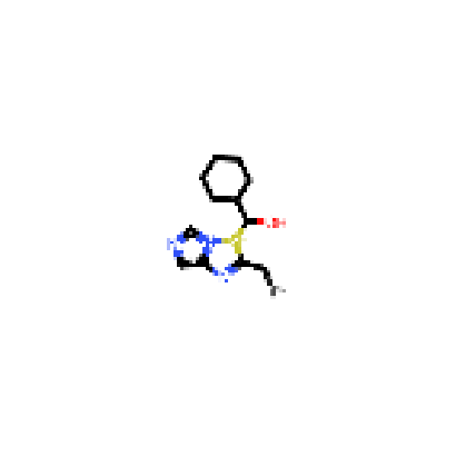 CC(C)CC1=Nc2cncn2[SH]1C(O)C1CCCCC1